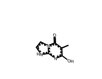 Cc1c(O)nc2[nH]ccn2c1=O